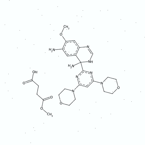 COC(=O)CCC(=O)O.COc1cc2c(cc1N)C(N)(c1nc(N3CCOCC3)cc(N3CCOCC3)n1)NC=N2